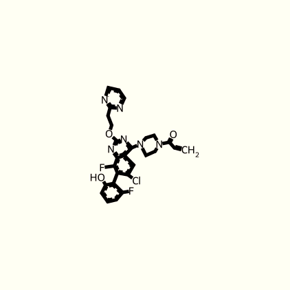 C=CC(=O)N1CCN(c2nc(OCCc3ncccn3)nc3c(F)c(-c4c(O)cccc4F)c(Cl)cc23)CC1